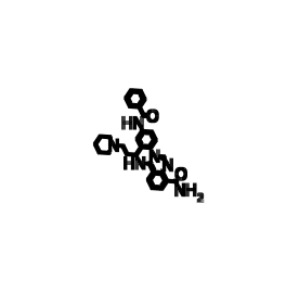 NC(=O)c1cccc2c(NC(CCN3CCCCC3)c3cccc(NC(=O)c4ccccc4)c3)ncnc12